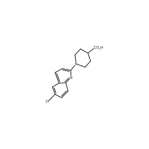 O=C(O)C1CCN(c2ccc3cc(Cl)ccc3n2)CC1